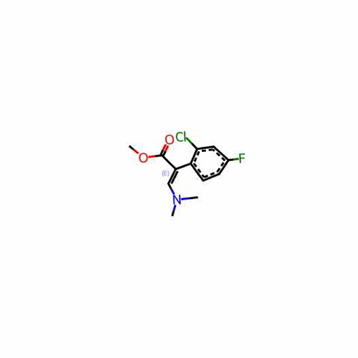 COC(=O)/C(=C/N(C)C)c1ccc(F)cc1Cl